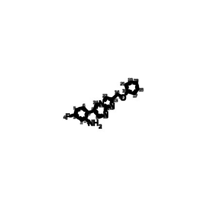 Nc1cc(F)ccc1-c1cnc2nc(COc3ccccc3)cn2c1